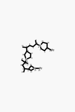 CC(C)C1CCN(C(C)CCC(C)C2CCN(C(C)(C)CC(C)C3CN(C(C)C)C3)C2)CC1